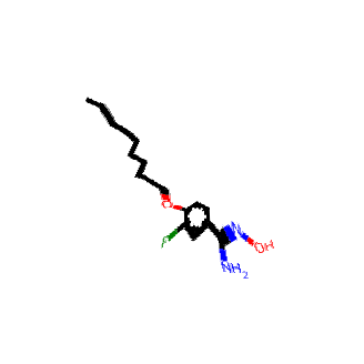 CCCCCCCCOc1ccc(/C(N)=N/O)cc1F